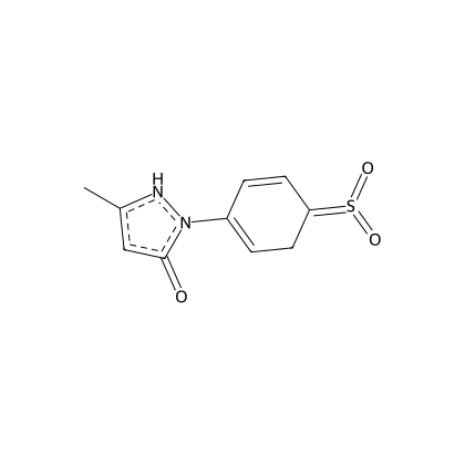 Cc1cc(=O)n(C2=CCC(=S(=O)=O)C=C2)[nH]1